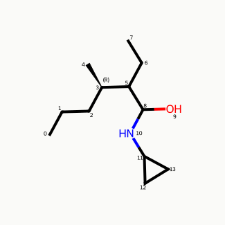 CCC[C@@H](C)C(CC)C(O)NC1CC1